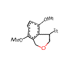 CCC1COCc2c(OC)ccc(OC)c21